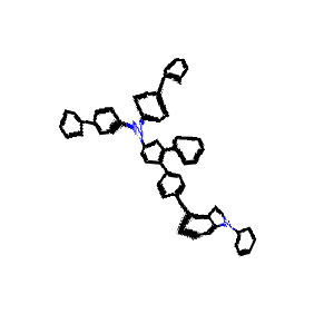 c1ccc(-c2ccc(N(c3ccc(-c4ccccc4)cc3)c3ccc(-c4ccc(-c5cccc6c5ccn6-c5ccccc5)cc4)c(-c4ccccc4)c3)cc2)cc1